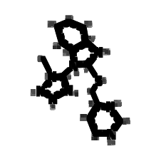 Cn1nnnc1-n1c(SCc2ccncn2)nc2ccccc21